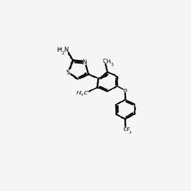 Cc1cc(Oc2ccc(C(F)(F)F)cc2)cc(C)c1-c1csc(N)n1